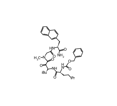 CC[C@H](C)C(NC(=O)[C@H](CCC(C)C)NC(=O)OCc1ccccc1)C(=O)C(=O)N(C)CC(=O)N[C@@H](Cc1ccc2ccccc2c1)C(N)=O